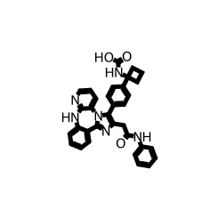 O=C(O)NC1(c2ccc(-c3c(CC(=O)Nc4ccccc4)nc4n3-c3cccnc3Nc3ccccc3-4)cc2)CCC1